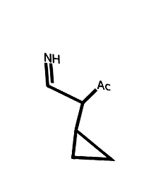 CC(=O)C(C=N)C1CC1